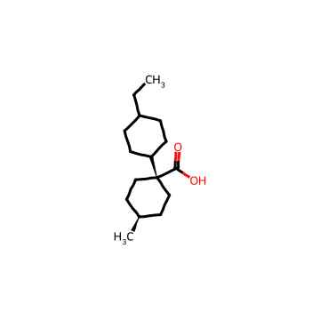 CCC1CCC([C@]2(C(=O)O)CC[C@H](C)CC2)CC1